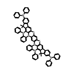 CC1(C)c2cc(N(c3ccccc3)c3ccccc3)ccc2-c2cc3c4c(c21)N(c1ccccc1)c1ccccc1B4c1cc2c(cc1S3)Sc1cc3c(c4c1B2c1ccccc1N4c1ccccc1)C(C)(C)c1cc(N(c2ccccc2)c2ccccc2)ccc1-3